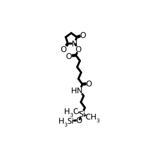 C[Si](C)(CCCNC(=O)CCCCC(=O)ON1C(=O)CCC1=O)O[SiH3]